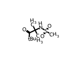 CC(C)(C)C(=O)C(C)(C)NS(C)(=O)=O